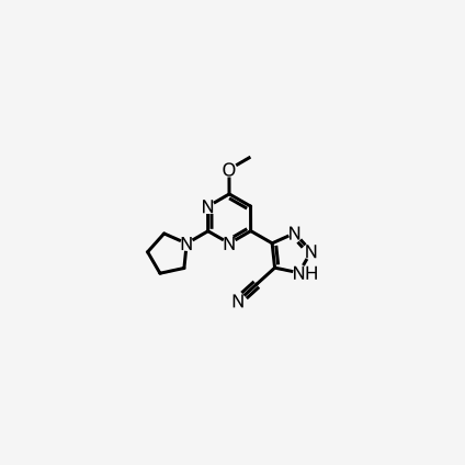 COc1cc(-c2nn[nH]c2C#N)nc(N2CCCC2)n1